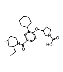 CC[C@H]1CNCCN1C(=O)c1ccc(OC2CCN(C(=O)O)C2)c(C2CCCCC2)c1